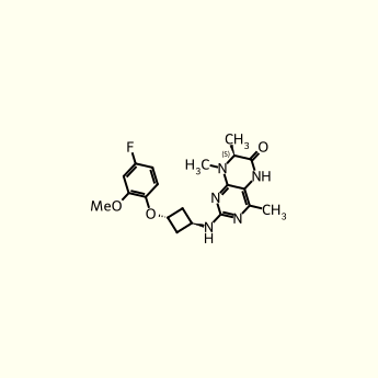 COc1cc(F)ccc1O[C@H]1C[C@H](Nc2nc(C)c3c(n2)N(C)[C@@H](C)C(=O)N3)C1